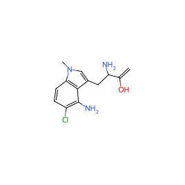 C=C(O)C(N)Cc1cn(C)c2ccc(Cl)c(N)c12